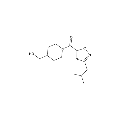 CC(C)Cc1noc(C(=O)N2CCC(CO)CC2)n1